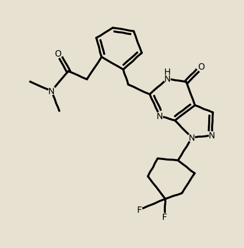 CN(C)C(=O)Cc1ccccc1Cc1nc2c(cnn2C2CCC(F)(F)CC2)c(=O)[nH]1